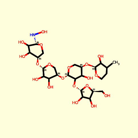 CC1CCO[C@@H](O[C@@H]2CO[C@@H](O[C@@H]3CO[C@@H](O[C@@H]4CO[C@@H](NO)C(O)C4O)C(O)C3O)C(O[C@@H]3O[C@@H](CO)C(O)C3O)C2O)C1O